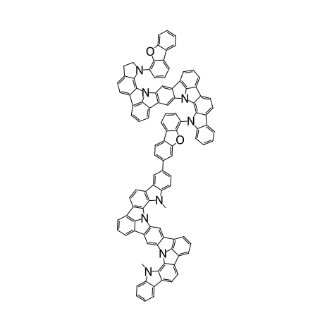 Cn1c2ccccc2c2ccc3c4cccc5c6cc7c(cc6n(c54)c3c21)c1cccc2c3ccc4c5cc(-c6ccc8c(c6)oc6c(-n9c%10ccccc%10c%10ccc%11c%12cccc%13c%14cc%15c(cc%14n(c%13%12)c%11c%109)c9cccc%10c%11ccc%12c(c%11n%15c9%10)N(c9cccc%10c9oc9ccccc9%10)CC%12)cccc68)ccc5n(C)c4c3n7c12